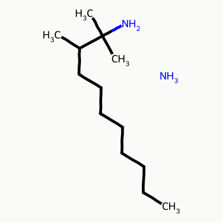 CCCCCCCCC(C)C(C)(C)N.N